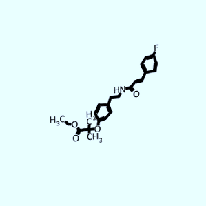 CCOC(=O)C(C)(C)Oc1ccc(CCNC(=O)C=Cc2ccc(F)cc2)cc1